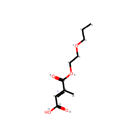 CCCOCCOC(=O)/C(C)=C/C(=O)O